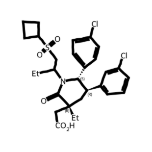 CCC(CS(=O)(=O)C1CCC1)N1C(=O)[C@@](CC)(CC(=O)O)C[C@H](c2cccc(Cl)c2)[C@H]1c1ccc(Cl)cc1